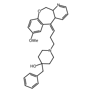 COc1ccc2c(c1)C(=CCCN1CCC(O)(Cc3ccccc3)CC1)C1C=CC=NC1CO2